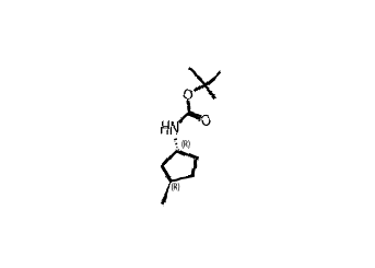 C[C@@H]1CC[C@@H](NC(=O)OC(C)(C)C)C1